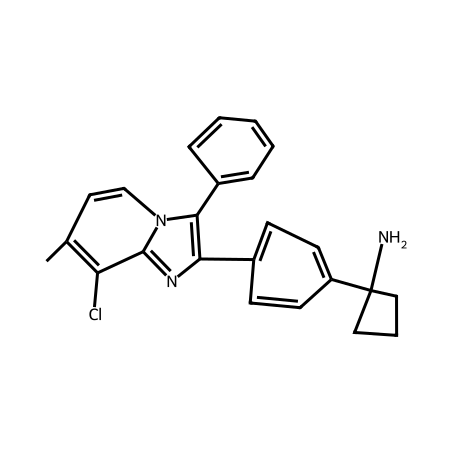 Cc1ccn2c(-c3ccccc3)c(-c3ccc(C4(N)CCC4)cc3)nc2c1Cl